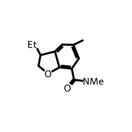 CCC1COc2c(C(=O)NC)cc(C)cc21